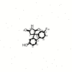 O=C1CC2(C(=O)N1)c1cc(O)ccc1-c1ccc(F)cc12